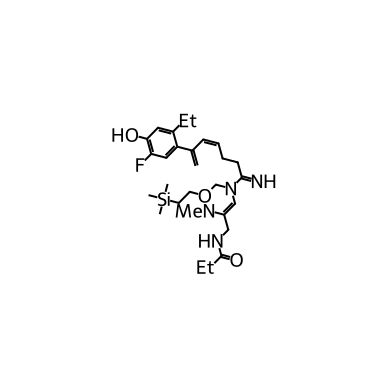 C=C(/C=C\CCC(=N)N(/C=C(/CNC(=O)CC)NC)COCC[Si](C)(C)C)c1cc(F)c(O)cc1CC